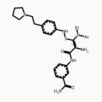 CCN(C(C)=O)/C(SNc1ccc(CCN2CCCC2)cc1)=C(\N)C(=O)Nc1cccc(C(N)=O)c1